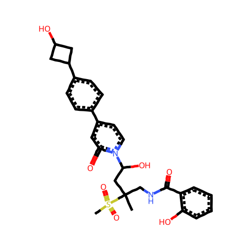 CC(CNC(=O)c1ccccc1O)(CC(O)n1ccc(-c2ccc(C3CC(O)C3)cc2)cc1=O)S(C)(=O)=O